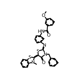 COc1cccc(C(=O)Nc2cccc(/N=C3\S/C(=C4\Sc5ccccc5N4C)C(=O)N3Cc3ccccc3)c2)c1